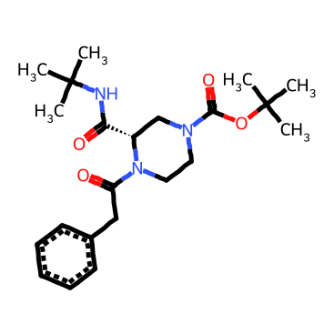 CC(C)(C)NC(=O)[C@@H]1CN(C(=O)OC(C)(C)C)CCN1C(=O)Cc1ccccc1